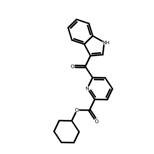 O=C(OC1CCCCC1)c1cccc(C(=O)c2c[nH]c3ccccc23)n1